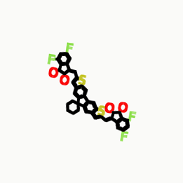 O=C1C(=O)c2c(F)cc(F)cc2/C1=C/c1cc2cc3c(cc2s1)-c1cc2sc(/C=C4\C(=O)C(=O)c5c(F)cc(F)cc54)cc2cc1C31CCCCC1